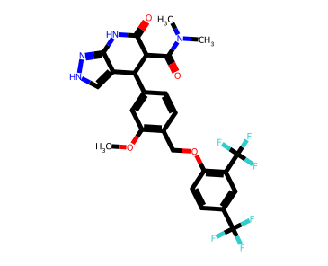 COc1cc(C2c3c[nH]nc3NC(=O)C2C(=O)N(C)C)ccc1COc1ccc(C(F)(F)F)cc1C(F)(F)F